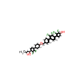 CCCC(O)c1ccc(C2=CCC(OCC3CC=C(c4ccc(-c5ccc(O)c(F)c5F)c(F)c4F)CC3)CC2)c(F)c1F